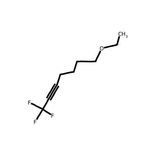 C[CH]OCCCCC#CC(F)(F)F